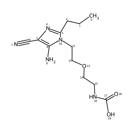 CCCc1nc(C#N)c(N)n1CCOCCNC(=O)O